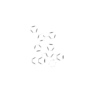 c1ccc(-c2cc(-c3cccc(-n4c5c6ccccc6ccc5c5c6c(c7ccccc7c54)-c4ccccc4C64CCCCC4)c3)nc(-c3ccccc3)n2)cc1